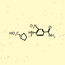 NC(=O)c1ccc(NC[C@@H]2CCN(C(=O)O)C2)c([N+](=O)[O-])c1